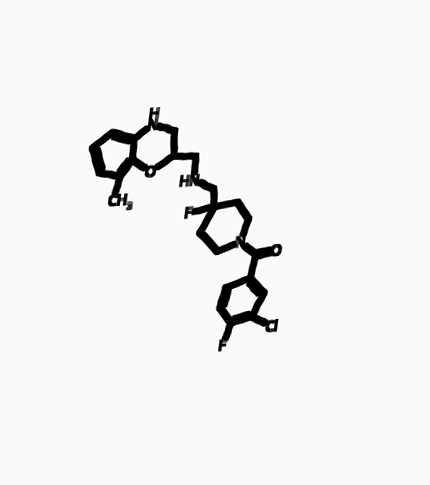 Cc1cccc2c1OC(CNCC1(F)CCN(C(=O)c3ccc(F)c(Cl)c3)CC1)CN2